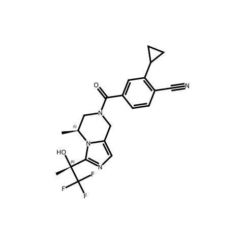 C[C@H]1CN(C(=O)c2ccc(C#N)c(C3CC3)c2)Cc2cnc([C@@](C)(O)C(F)(F)F)n21